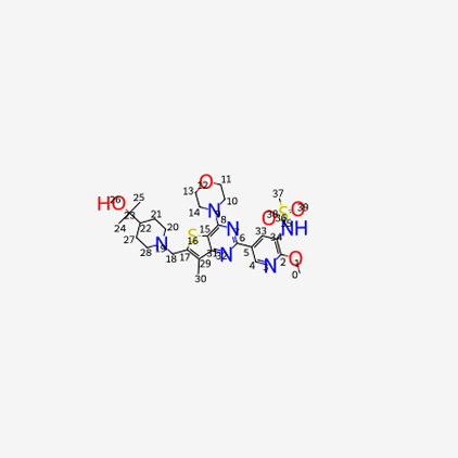 COc1ncc(-c2nc(N3CCOCC3)c3sc(CN4CCC(C(C)(C)O)CC4)c(C)c3n2)cc1NS(C)(=O)=O